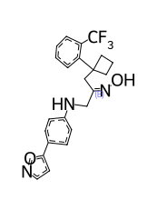 O/N=C(/CNc1ccc(-c2ccno2)cc1)CC1(c2ccccc2C(F)(F)F)CCC1